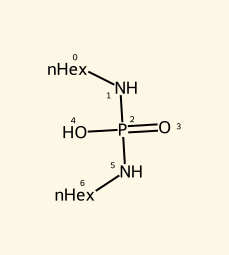 CCCCCCNP(=O)(O)NCCCCCC